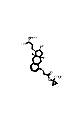 CCCCC[C@H](O)CC[C@@H]1[C@H]2Cc3cccc(OCC(=O)OC4(C(=O)O)CC4)c3C[C@H]2C[C@H]1O